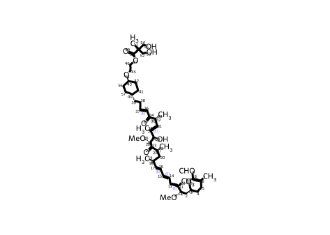 CO[C@@H](C[C@@H]1CCC(C)=C(C=O)O1)/C(C)=C/C=C/C=C/[C@@H](C)C[C@@H](C)C(=O)[C@H](OC)[C@H](O)/C(C)=C/[C@@H](C)C(=O)/C=C/CC[C@H]1CC[C@H](OCCOC(=O)C(C)(CO)CO)CC1